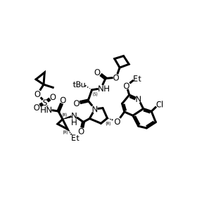 CCOc1cc(O[C@@H]2CC(C(=O)N[C@]3(C(=O)NS(=O)(=O)OC4(C)CC4)C[C@H]3CC)N(C(=O)[C@@H](NC(=O)OC3CCC3)C(C)(C)C)C2)c2cccc(Cl)c2n1